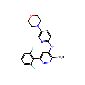 O=C(O)c1nnc(-c2c(F)cccc2F)cc1Nc1ccc(N2CCOCC2)cn1